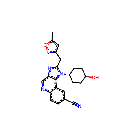 Cc1cc(Cc2nc3cnc4ccc(C#N)cc4c3n2[C@H]2CC[C@H](O)CC2)no1